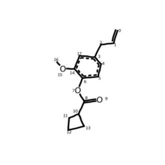 C=CCc1ccc(OC(=O)C2CCC2)c(OC)c1